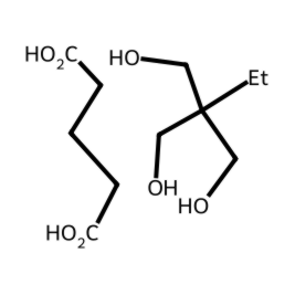 CCC(CO)(CO)CO.O=C(O)CCCC(=O)O